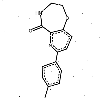 Cc1ccc(-c2ccc3c(n2)C(=O)NCCO3)cc1